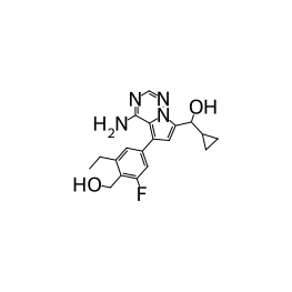 CCc1cc(-c2cc(C(O)C3CC3)n3ncnc(N)c23)cc(F)c1CO